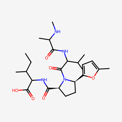 CCC(C)C(NC(=O)[C@@H]1CC[C@H](c2ccc(C)o2)N1C(=O)C(NC(=O)C(C)NC)C(C)C)C(=O)O